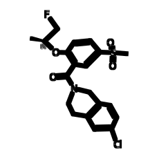 C[C@@H](CF)Oc1ccc(S(C)(=O)=O)cc1C(=O)N1CCc2cc(Cl)ccc2C1